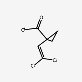 O=C(Cl)C1(C=C(Cl)Cl)CC1